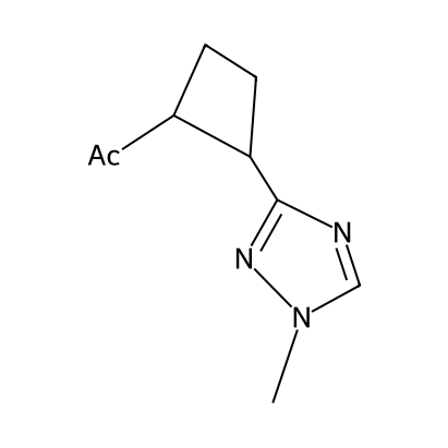 CC(=O)C1CCC1c1ncn(C)n1